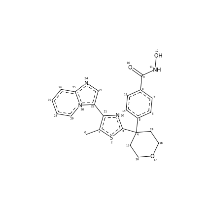 Cc1sc(C2(c3ccc(C(=O)NO)cc3)CCOCC2)nc1-c1cnc2ccccn12